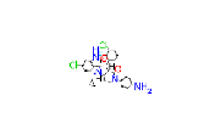 Nc1ccc(N2CC[C@H]3[C@@H](C2=O)[C@H](c2cccc(Cl)c2F)[C@]2(C(=O)Nc4cc(Cl)ccc42)N3CC2CC2)cc1